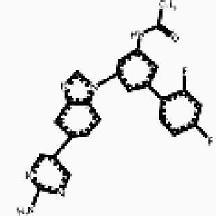 CC(=O)Nc1cc(-c2ccc(F)cc2F)cc(-n2cnc3cc(-c4cnc(N)nc4)ccc32)c1